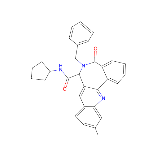 Cc1ccc2cc3c(nc2c1)-c1ccccc1C(=O)N(Cc1ccccc1)C3C(=O)NC1CCCC1